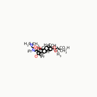 CC(C)C1=C2[C@H]3CC[C@@H]4[C@@]5(C)CC[C@@H](OC(=O)CC(C)(C)C(=O)O)C(C)(C)[C@@H]5CC[C@@]4(C)[C@]3(C)CC[C@@]2([C@@H](O)CN(C(=O)CN(C)C)C(C)C)CC1=O